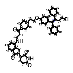 O=C1CCC(N2Cc3c(NCCC(=O)N4CCN(CCOc5ccc(/C(=C(/CCCl)c6ccccc6)c6ccccc6)cc5)CC4)cccc3C2=O)C(=O)N1